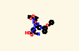 CC(C)(C)OC(=O)NC1(COc2nc3c(c(N4CCN(C(=O)O)C(CC#N)C4)n2)CCN(c2cc(OCc4ccccc4)cc4ccccc24)C3)CC1